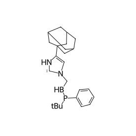 CC(C)(C)P(BCN1[C]NC(C23CC4CC(CC(C4)C2)C3)=C1)c1ccccc1